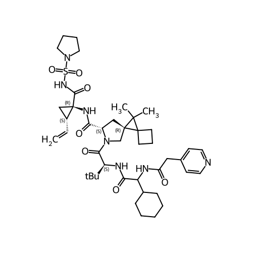 C=C[C@@H]1C[C@]1(NC(=O)[C@@H]1C[C@@]2(CN1C(=O)[C@@H](NC(=O)C(NC(=O)Cc1ccncc1)C1CCCCC1)C(C)(C)C)C(C)(C)C21CCC1)C(=O)NS(=O)(=O)N1CCCC1